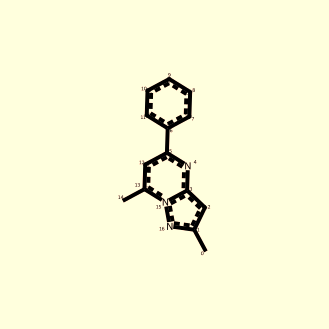 Cc1cc2nc(-c3ccccc3)cc(C)n2n1